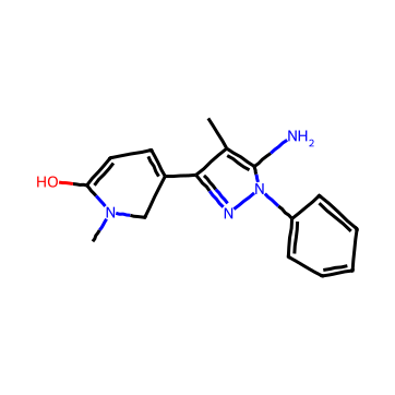 Cc1c(C2=CC=C(O)N(C)C2)nn(-c2ccccc2)c1N